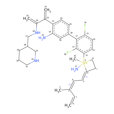 C=C/C(C)=C\C=C1\CC[SH]1(C)(N)c1ccc(F)c(-c2ccc(C(=C)C(=C)NCC3CCCNC3)c(N)c2)c1F